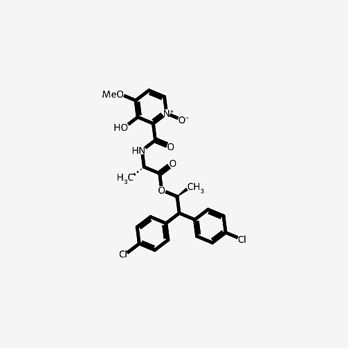 COc1cc[n+]([O-])c(C(=O)N[C@@H](C)C(=O)O[C@@H](C)C(c2ccc(Cl)cc2)c2ccc(Cl)cc2)c1O